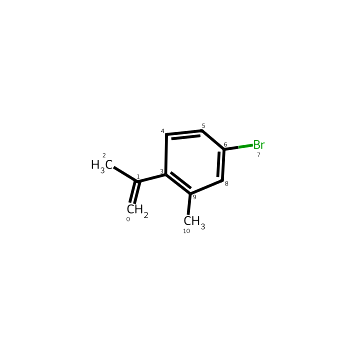 C=C(C)c1ccc(Br)cc1C